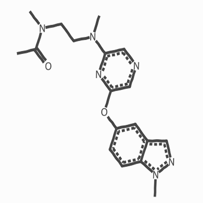 CC(=O)N(C)CCN(C)c1cncc(Oc2ccc3c(cnn3C)c2)n1